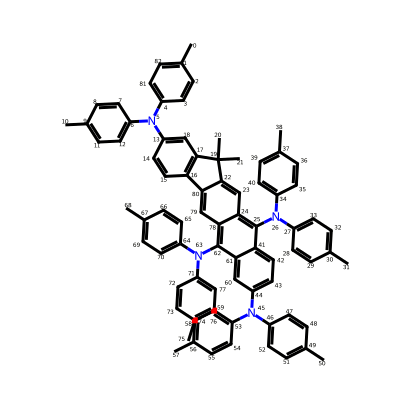 Cc1ccc(N(c2ccc(C)cc2)c2ccc3c(c2)C(C)(C)c2cc4c(N(c5ccc(C)cc5)c5ccc(C)cc5)c5ccc(N(c6ccc(C)cc6)c6ccc(C)cc6)cc5c(N(c5ccc(C)cc5)c5ccc(C)cc5)c4cc2-3)cc1